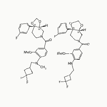 COc1cc(C(=O)N2CC[C@]3(c4cccc(F)c4)OCO[C@@H]3C2)ccc1N(C)CC1CC(F)(F)C1.COc1cc(C(=O)N2CC[C@]3(c4cccc(F)c4)OCO[C@@H]3C2)ccc1NCC1CC(F)(F)C1